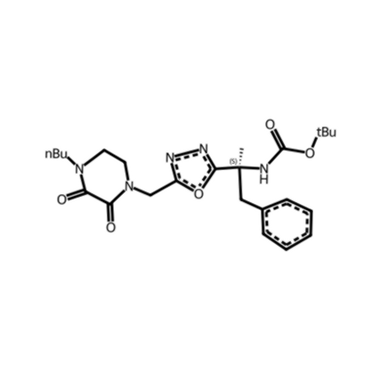 CCCCN1CCN(Cc2nnc([C@](C)(Cc3ccccc3)NC(=O)OC(C)(C)C)o2)C(=O)C1=O